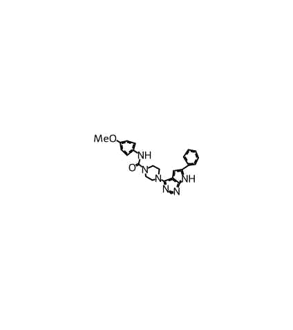 COc1ccc(NC(=O)N2CCN(c3ncnc4[nH]c(-c5ccccc5)cc34)CC2)cc1